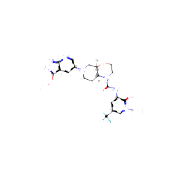 COc1n[nH]c2ncc(N3CC[C@H]4[C@H](C3)OCCN4C(=O)Nc3cc(C(F)(F)F)cn(C)c3=O)cc12